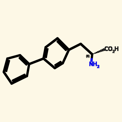 N[C@H](Cc1ccc(-c2ccccc2)cc1)C(=O)O